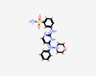 NS(=O)(=O)c1cccc(Nc2nccc(N(c3ccccc3)N3CCOCC3)n2)c1